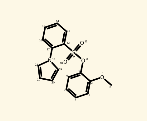 COc1ccccc1OS(=O)(=O)c1ccccc1-n1cccc1